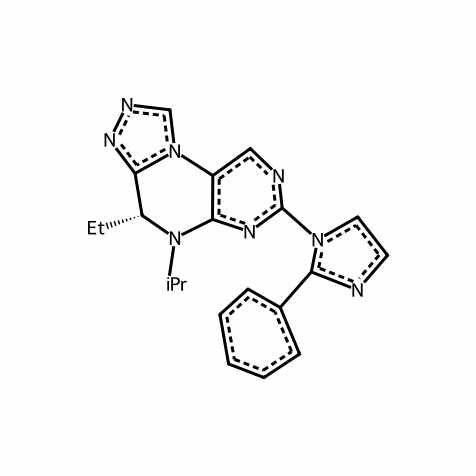 CC[C@@H]1c2nncn2-c2cnc(-n3ccnc3-c3ccccc3)nc2N1C(C)C